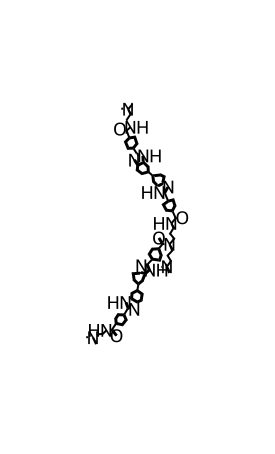 CN(C)CCCN(CCCNC(=O)c1ccc(-c2nc3ccc(-c4ccc5nc(-c6ccc(C(=O)NCCN(C)C)cc6)[nH]c5c4)cc3[nH]2)cc1)C(=O)c1ccc(-c2nc3ccc(-c4ccc5nc(-c6ccc(C(=O)NCCN(C)C)cc6)[nH]c5c4)cc3[nH]2)cc1